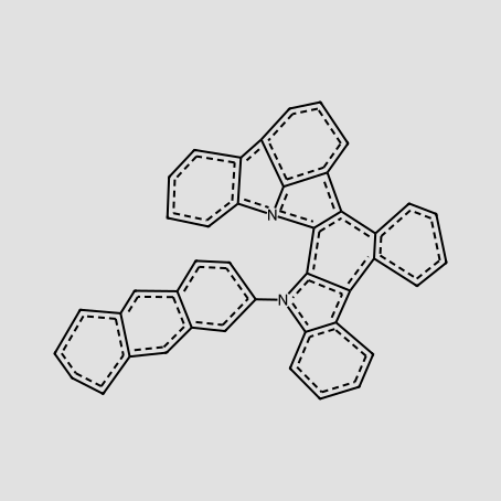 c1ccc2cc3cc(-n4c5ccccc5c5c6ccccc6c6c7cccc8c9ccccc9n(c87)c6c54)ccc3cc2c1